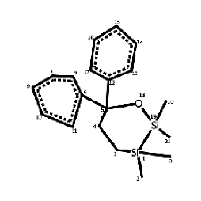 C[Si]1(C)CCC(c2ccccc2)(c2ccccc2)O[Si]1(C)C